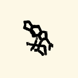 CNc1nc2cc3c(cc2n1C(C=O)(NC)C(F)(F)F)CCC3